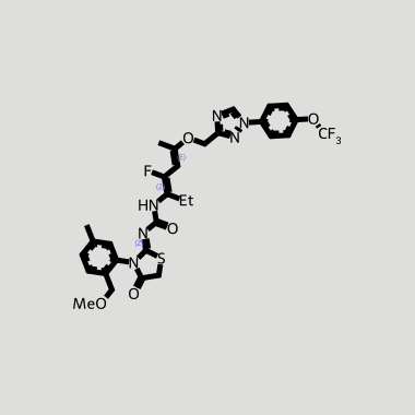 CC/C(NC(=O)/N=C1\SCC(=O)N1c1cc(C)ccc1COC)=C(F)\C=C(/C)OCc1ncn(-c2ccc(OC(F)(F)F)cc2)n1